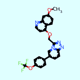 COc1ccc2c(OCc3nnc4ccc(-c5ccc(OC(F)(F)F)cc5)cn34)ccnc2c1